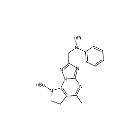 CCCCN1CCc2c(C)nc3nc(CN(CCC)c4ccccc4)nn3c21